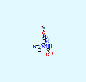 COC(=O)C1CC(Nc2nn(C(CC#N)C3CCCC3)cc2-c2ncnc3c2ccn3COCC[Si](C)(C)C)C1